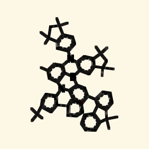 Cc1cc2c3c(c1)N(c1ccc(C(C)(C)C)cc1-c1ccccc1)c1ccc(-c4cccc5c4-c4ccccc4C5(C)C)cc1B3c1cc3c(cc1N2c1ccc2c(c1)C(C)(C)CC2(C)C)C(C)(C)CC3(C)C